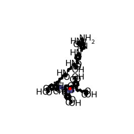 CC1(C)C(/C=C/C2=C(Oc3ccc(S(=O)(=O)O)cc3)C(=C/C=C3/N(CCCCS(=O)(=O)O)c4ccc(S(=O)(=O)O)cc4C3(C)C)/CCC2)=[N+](CCCCCC(=O)NCCCC[C@H](NC(=O)c2ccc(NCc3cnc4nc(N)[nH]c(=O)c4n3)cc2)C(=O)O)c2ccc(S(=O)(=O)O)cc21